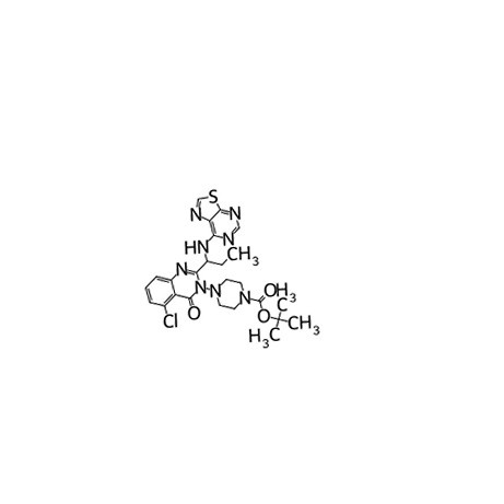 CCC(Nc1ncnc2scnc12)c1nc2cccc(Cl)c2c(=O)n1N1CCN(C(=O)OC(C)(C)C)CC1